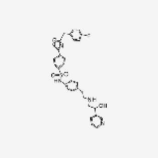 O=S(=O)(Nc1ccc(CCNCC(O)c2cccnc2)cc1)c1ccc(-c2noc(Cc3ccc(F)cc3)n2)cc1